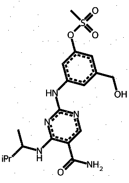 CC(C)C(C)Nc1nc(Nc2cc(CO)cc(OS(C)(=O)=O)c2)ncc1C(N)=O